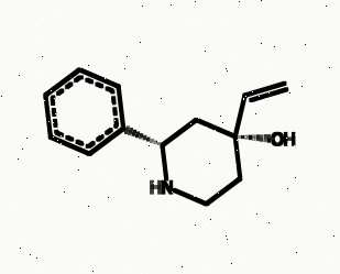 C=C[C@@]1(O)CCN[C@H](c2ccccc2)C1